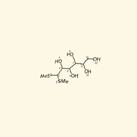 CSC(SC)C(O)C(O)C(O)C(O)CO